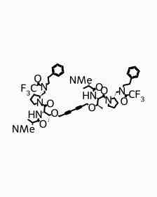 CN[C@@H](C)C(=O)N[C@H](C(=O)N1CCC[C@H]1CN(CCc1ccccc1)C(=O)C(F)(F)F)[C@@H](C)OCC#CC#CCO[C@H](C)[C@H](NC(=O)[C@H](C)NC)C(=O)N1CCC[C@H]1CN(CCc1ccccc1)C(=O)C(F)(F)F